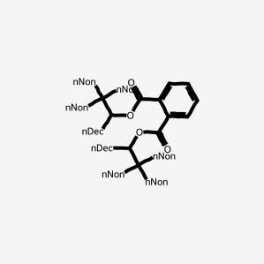 CCCCCCCCCCC(OC(=O)c1ccccc1C(=O)OC(CCCCCCCCCC)C(CCCCCCCCC)(CCCCCCCCC)CCCCCCCCC)C(CCCCCCCCC)(CCCCCCCCC)CCCCCCCCC